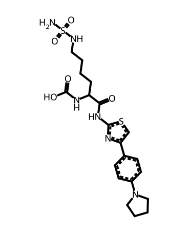 NS(=O)(=O)NCCCCC(NC(=O)O)C(=O)Nc1nc(-c2ccc(N3CCCC3)cc2)cs1